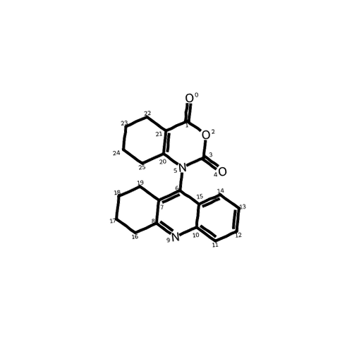 O=c1oc(=O)n(-c2c3c(nc4ccccc24)CCCC3)c2c1CCCC2